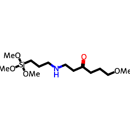 COCCCC(=O)CCNCCC[Si](OC)(OC)OC